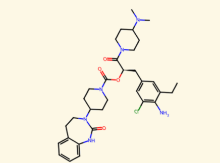 CCc1cc(C[C@@H](OC(=O)N2CCC(N3CCc4ccccc4NC3=O)CC2)C(=O)N2CCC(N(C)C)CC2)cc(Cl)c1N